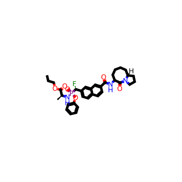 CCCOC(=O)[C@H](C)NP(=O)(Oc1ccccc1)[C@H](F)c1ccc2ccc(C(=O)NC3CCCC[C@H]4CCCN4C3=O)cc2c1